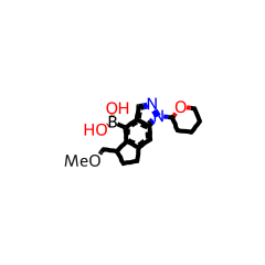 COCC1CCc2cc3c(cnn3C3CCCCO3)c(B(O)O)c21